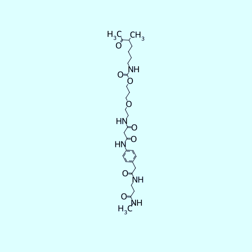 CNC(=O)CCNC(=O)Cc1ccc(NC(=O)CC(=O)NCCOCCCOC(=O)NCCCCC(C)C(C)=O)cc1